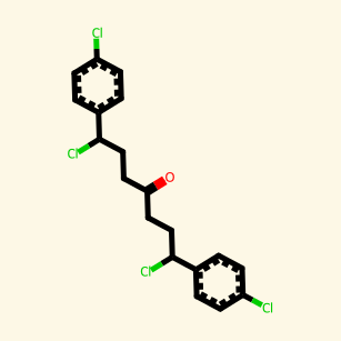 O=C(CCC(Cl)c1ccc(Cl)cc1)CCC(Cl)c1ccc(Cl)cc1